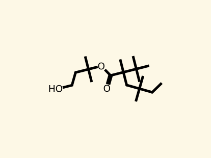 CCC(C)(C)CC(C)(C(=O)OC(C)(C)CCO)C(C)(C)C